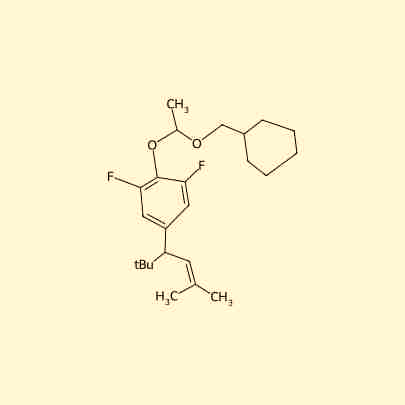 CC(C)=CC(c1cc(F)c(OC(C)OCC2CCCCC2)c(F)c1)C(C)(C)C